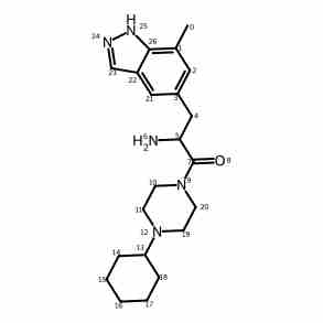 Cc1cc(CC(N)C(=O)N2CCN(C3CCCCC3)CC2)cc2cn[nH]c12